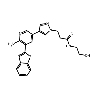 Nc1ncc(-c2cnn(CCC(=O)NCCO)c2)cc1-c1nc2ccccc2s1